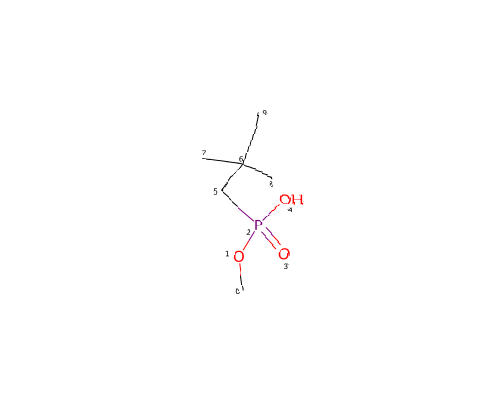 COP(=O)(O)CC(C)(C)C